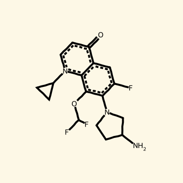 NC1CCN(c2c(F)cc3c(=O)ccn(C4CC4)c3c2OC(F)F)C1